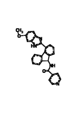 COc1ccc2nc(-c3cccc4c3-c3ccccc3C4NC(=O)c3ccncc3)[nH]c2c1